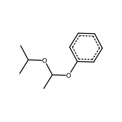 CC(C)OC(C)Oc1ccccc1